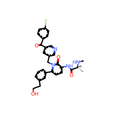 CN[C@H](C)C(=O)Nc1ccc(-c2cccc(CCO)c2)n(Cc2cncc(C(=O)c3ccc(F)cc3)c2)c1=O